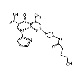 Cc1cc(N2CC(NC(=O)CCCO)C2)nc2c1c(=O)c(C(=O)O)cn2-c1nccs1